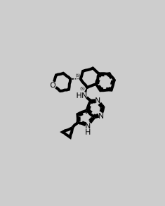 c1ccc2c(c1)CC[C@@H](C1CCOCC1)[C@@H]2Nc1ncnc2[nH]c(C3CC3)cc12